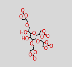 O=C1OCC(COCC(O)C(OCC2COC(=O)O2)C(O)C(COCC2COC(=O)O2)OCC2COC(=O)O2)O1